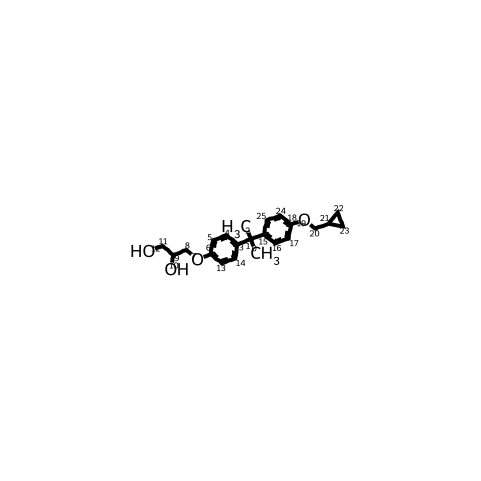 CC(C)(c1ccc(OCC(O)CO)cc1)c1ccc(OCC2CC2)cc1